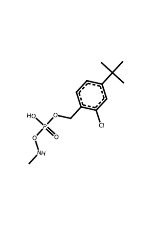 CNOP(=O)(O)OCc1ccc(C(C)(C)C)cc1Cl